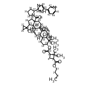 CCCCOC(=O)C1CC(C(=O)O[C@H]2CC[C@]3(C)[C@H]4CC[C@@H]5[C@H]6C(C7(C)CC7)CC[C@]6(C(=O)N6CCCC6c6ncc(-c7cccnc7)[nH]6)CC[C@@]5(C)[C@]4(C)CC[C@H]3C2(C)C)C1(C)C